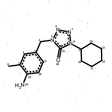 Cc1cc(Cn2nnn(C3CCCCC3)c2=O)ccc1N